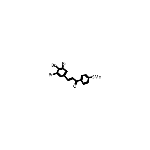 CSc1ccc(C(=O)C=Cc2cc(Br)c(Br)c(Br)c2)cc1